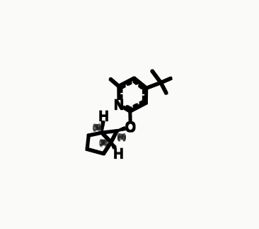 Cc1cc(C(C)(C)C)cc(O[C@H]2[C@@H]3CCC[C@@H]32)n1